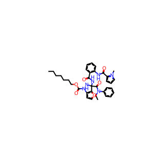 CCCCCCCOC(=O)N1NC(NC(=O)c2ccccc2NC(=O)c2cccn2C)(C(=O)N(CC)c2ccccc2)c2occc21